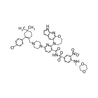 CC1(C)CCC(CN2CCN(c3ccc(C(=O)NS(=O)(=O)c4ccc(NC[C@H]5COCCO5)c([N+](=O)[O-])c4)c(N4CCCOc5nc6[nH]ccc6cc54)n3)CC2)=C(c2ccc(Cl)cc2)C1